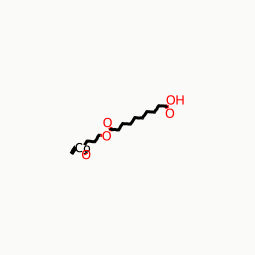 C=[CH][Co](=[O])[CH2]CCOC(=O)CCCCCCCCC(=O)O